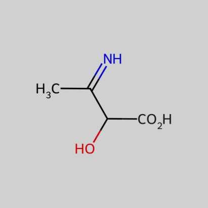 CC(=N)C(O)C(=O)O